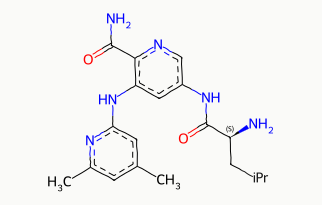 Cc1cc(C)nc(Nc2cc(NC(=O)[C@@H](N)CC(C)C)cnc2C(N)=O)c1